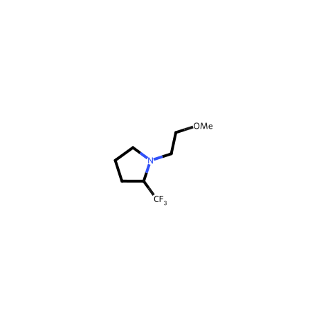 COCCN1CCCC1C(F)(F)F